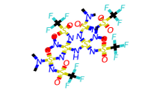 CN(C)S(=O)(=NS(=O)(=O)C(F)(F)F)N=S(=NS(=O)(=O)C(F)(F)F)(NS(=NS(=O)(=O)C(F)(F)F)(=NS(=O)(=NS(=O)(=O)C(F)(F)F)N(C)C)N(C)C)N(C)C